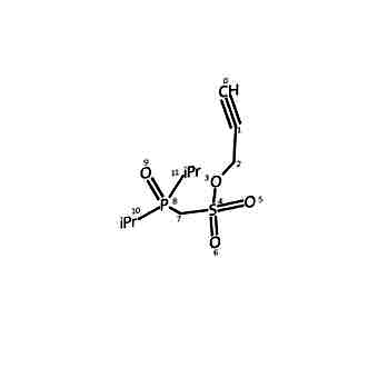 C#CCOS(=O)(=O)CP(=O)(C(C)C)C(C)C